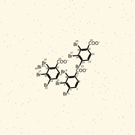 O=C([O-])c1ccc(Br)c(Br)c1Br.O=C([O-])c1ccc(Br)c(Br)c1Br.O=C([O-])c1ccc(Br)c(Br)c1Br.[Bi+3]